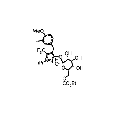 CCOC(=O)OC[C@H]1O[C@@](O)(Oc2nn(C(C)C)c(C(F)(F)F)c2Cc2ccc(OC)c(F)c2)[C@H](O)[C@@H](O)[C@@H]1O